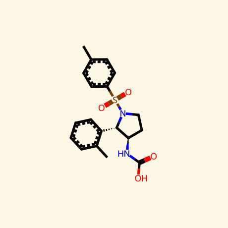 Cc1ccc(S(=O)(=O)N2CC[C@@H](NC(=O)O)[C@@H]2c2ccccc2C)cc1